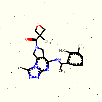 Cc1c(C(C)Nc2nc3nnc(C(C)C)n3c3c2CN(C(=O)C2(C)COC2)C3)cccc1C(F)(F)F